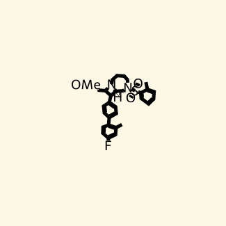 COCC1C(c2ccc(-c3ccc(F)cc3C)cc2)[C@@H]2CN(S(=O)(=O)c3ccccc3C)CCCCN12